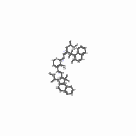 COC(C)C/C(=C/C=C1\CCCC(/C=C/C2=[N+](C(C)OC)c3ccc4ccccc4c3C2(C)C)=C1Cl)C(C)(C)c1c(C)ccc2ccccc12